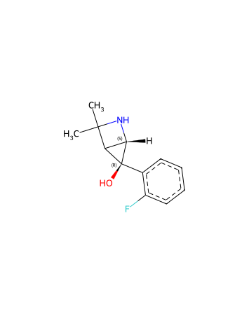 CC1(C)N[C@H]2C1[C@@]2(O)c1ccccc1F